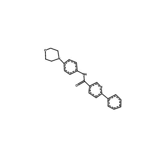 O=C(Nc1ccc(N2CCOCC2)cc1)c1ccc(-c2ccccc2)nc1